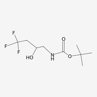 CC(C)(C)OC(=O)NCC(O)CC(F)(F)F